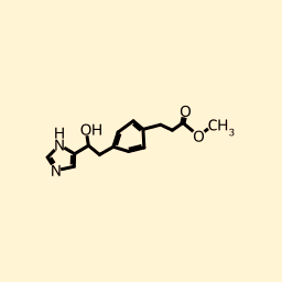 COC(=O)CCc1ccc(CC(O)c2cnc[nH]2)cc1